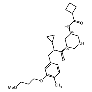 COCCCOc1cc(CN(C(=O)[C@@H]2CNC[C@H](NC(=O)C3CCC3)C2)C2CC2)ccc1C